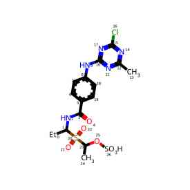 CCC(NC(=O)c1ccc(Nc2nc(C)nc(Cl)n2)cc1)S(=O)(=O)C(C)OS(=O)(=O)O